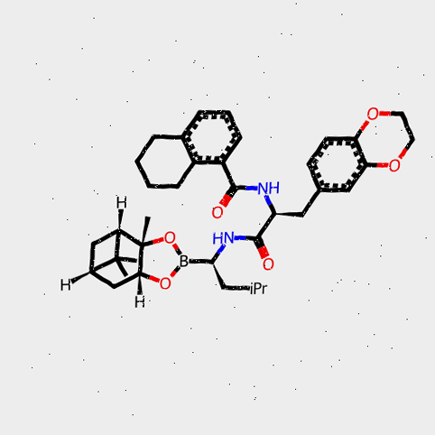 CC(C)C[C@H](NC(=O)[C@H](Cc1ccc2c(c1)OCCO2)NC(=O)c1cccc2c1CCCC2)B1O[C@@H]2C[C@@H]3C[C@@H](C3(C)C)[C@]2(C)O1